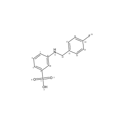 O=S(=O)(O)c1cccc(NCc2ccc(F)cc2)c1